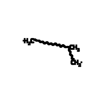 [CH2]CCCCCCCCCCCCCCCCCC(C)CCCCCC[CH2]